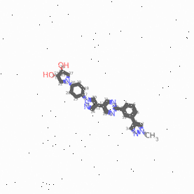 Cn1cc(-c2cccc(-c3ncc(-c4cnn(C5CC[C](N6C[C@H](O)[C@@H](O)C6)CC5)c4)cn3)c2)cn1